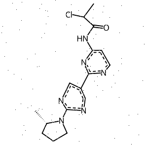 CC(Cl)C(=O)Nc1ccnc(-c2cnc(N3CCC[C@@H]3C)nc2)n1